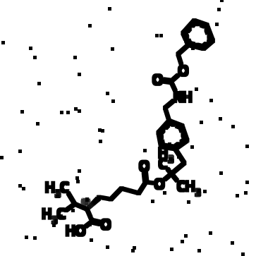 CC(C)[C@@H](CCCCC(=O)OC(C)(C)Cc1ccc(CNC(=O)OCc2ccccc2)cc1)C(=O)O